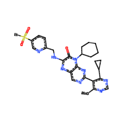 CCS(=O)(=O)c1ccc(CNc2nc3cnc(-c4c(OC)ncnc4C4CC4)nc3n(C3CCCCC3)c2=O)nc1